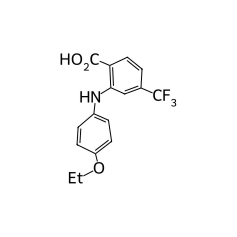 CCOc1ccc(Nc2cc(C(F)(F)F)ccc2C(=O)O)cc1